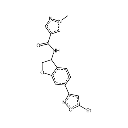 CCc1cc(-c2ccc3c(c2)OCC3NC(=O)c2cnn(C)c2)no1